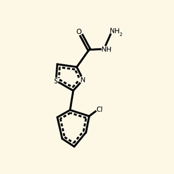 NNC(=O)c1csc(-c2ccccc2Cl)n1